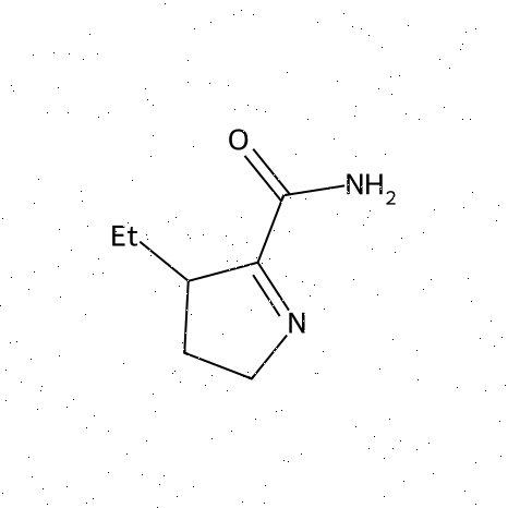 CCC1CCN=C1C(N)=O